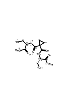 COC(=O)[C@H](CO)NC(=O)C1(C(=O)N[C@H](CO)C(=O)OC)CC1